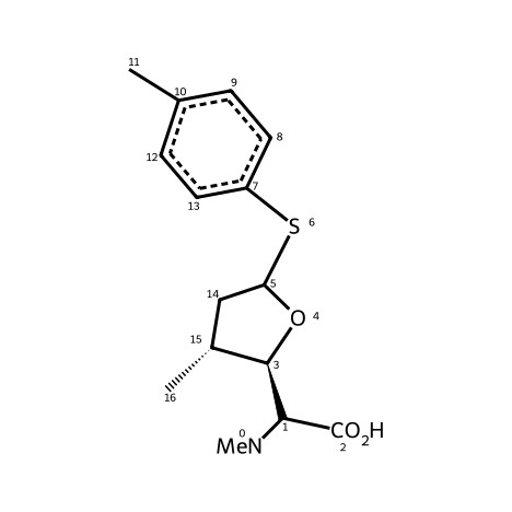 CNC(C(=O)O)[C@@H]1OC(Sc2ccc(C)cc2)C[C@H]1C